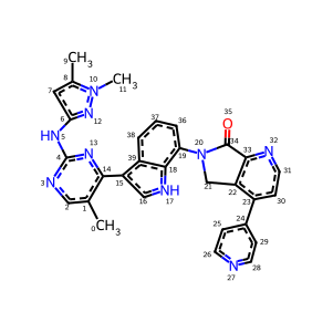 Cc1cnc(Nc2cc(C)n(C)n2)nc1-c1c[nH]c2c(N3Cc4c(-c5ccncc5)ccnc4C3=O)cccc12